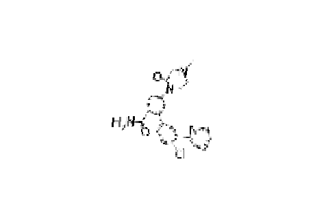 CN1CCN(c2ccc(C(N)=O)c(-c3ccc(Cl)c(-c4ccccn4)c3)c2)C(=O)C1